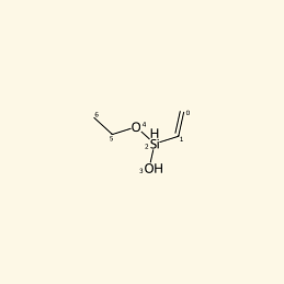 C=C[SiH](O)OCC